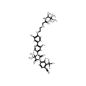 CC(NC(=O)COCCOc1ccc(-c2ncc(N3C(=S)N(c4ccc(C#N)c(C(F)(F)F)c4F)C(=O)C3(C)C)cc2F)cc1F)C(C)(C)C